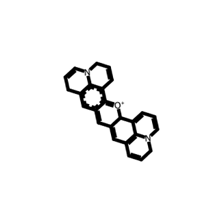 C1=CN2CC=CC3=C2C(=C1)C1[O+]=c2c4c5c(cc2=CC1=C3)CC=CN5CC=C4